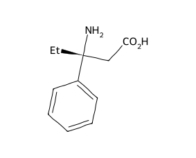 CC[C@@](N)(CC(=O)O)c1ccccc1